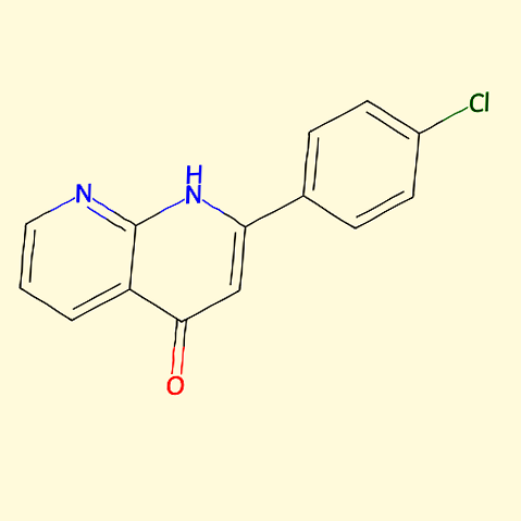 O=c1cc(-c2ccc(Cl)cc2)[nH]c2ncccc12